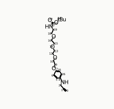 C#CCNc1ccc(OCCOCCOCCOCCNC(=O)OC(C)(C)C)cc1